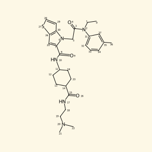 CCN(C(=O)Cn1c(C(=O)NC2CCC(C(=O)NCCN(C)C)CC2)cc2sccc21)c1cccc(C)c1